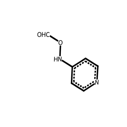 O=CONc1ccncc1